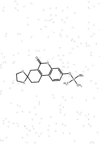 CC(C)(C)[Si](C)(C)Oc1ccc2c3c(c(=O)oc2c1)CC1(CC3)SCCS1